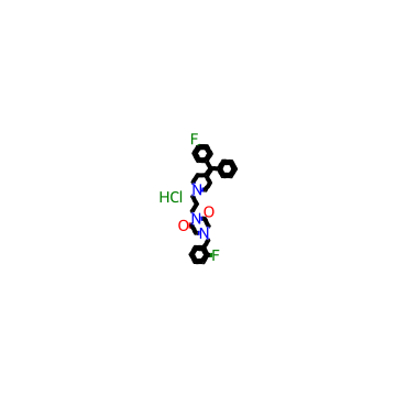 Cl.O=C1CN(Cc2ccccc2F)CC(=O)N1CCCN1CCC(=C(c2ccccc2)c2ccc(F)cc2)CC1